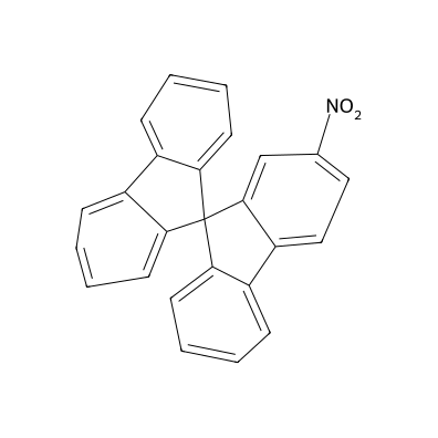 O=[N+]([O-])c1ccc2c(c1)C1(c3ccccc3-c3ccccc31)c1ccccc1-2